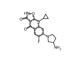 NC1CCN(c2cc3c(cc2F)c(=O)c2c(=O)[nH]oc2n3C2CC2)C1